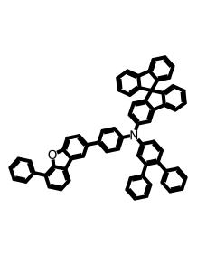 c1ccc(-c2ccc(N(c3ccc(-c4ccc5oc6c(-c7ccccc7)cccc6c5c4)cc3)c3ccc4c(c3)-c3ccccc3C43c4ccccc4-c4ccccc43)cc2-c2ccccc2)cc1